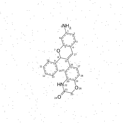 Nc1ccc2c(c1)OC(c1ccccc1)C(c1ccc3c(c1)NC(=O)CO3)=C2